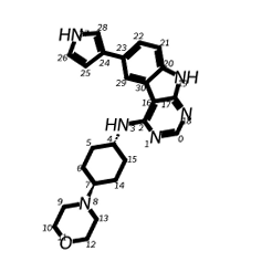 c1nc(N[C@H]2CC[C@H](N3CCOCC3)CC2)c2c(n1)[nH]c1ccc(-c3cc[nH]c3)cc12